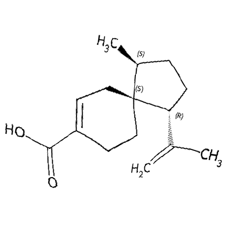 C=C(C)[C@H]1CC[C@H](C)[C@]12CC=C(C(=O)O)CC2